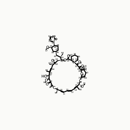 COC1C(=O)C(C)C[C@H](C)/C=C/C=C/C=C(\C)[C@@H](OC)C[C@@H]2CC[C@@H](C)C(O)(O2)C(=O)C(=O)N2CCCCC2C(=O)O[C@H]([C@H](C)C[C@@H]2CC[C@H](n3ncnn3)[C@H](OC)C2)CC(=O)[C@H](C)/C=C(\C)[C@H]1O